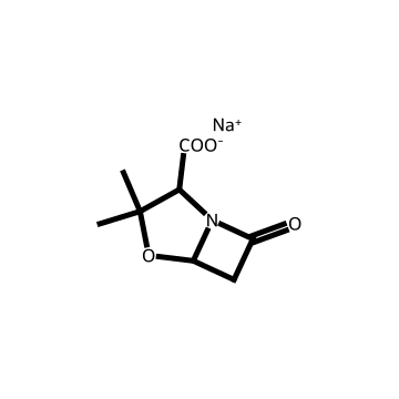 CC1(C)OC2CC(=O)N2C1C(=O)[O-].[Na+]